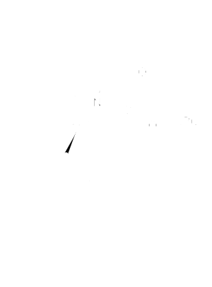 CC(C)(C)OC(=O)N1C[C@@H]1c1ccccc1